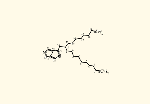 CCCCCCCCCCC(CCCCCCCC)CC1=NC=C2C=NC=C21